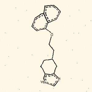 c1ccc2c(OCCC3CCc4[nH]cnc4C3)cccc2c1